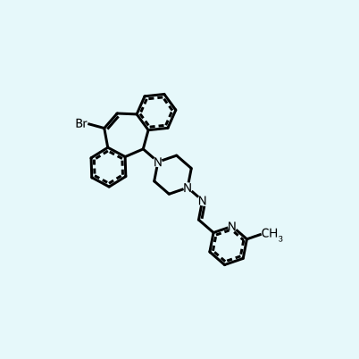 Cc1cccc(C=NN2CCN(C3c4ccccc4C=C(Br)c4ccccc43)CC2)n1